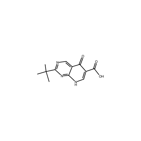 CC(C)(C)c1ncc2c(=O)c(C(=O)O)c[nH]c2n1